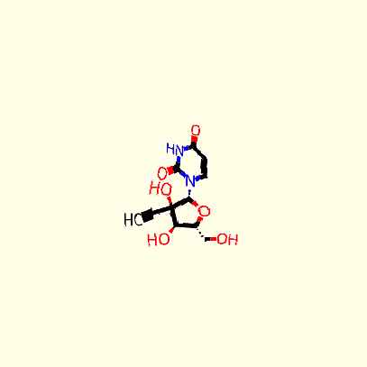 C#C[C@@]1(O)[C@H](O)[C@@H](CO)O[C@H]1n1ccc(=O)[nH]c1=O